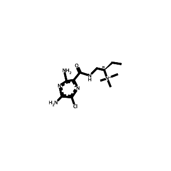 CC[C@H](CNC(=O)c1nc(Cl)c(N)nc1N)[N+](C)(C)C